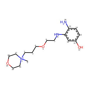 C[N+]1(CCCOCCNc2cc(O)ccc2N)CCOCC1